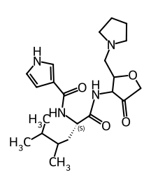 CC(C)C(C)C[C@H](NC(=O)c1cc[nH]c1)C(=O)NC1C(=O)COC1CN1CCCC1